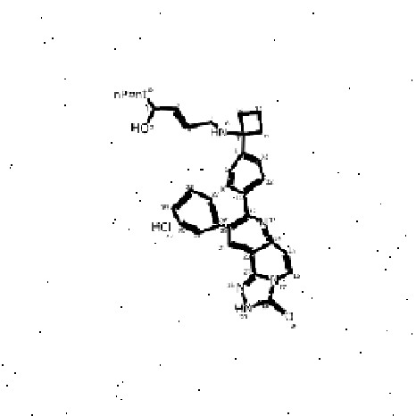 CCCCCC(O)/C=C/CNC1(c2ccc(-c3nc4ccn5c(=O)[nH]nc5c4cc3-c3ccccc3)cc2)CCC1.Cl